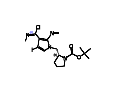 C=Nc1c(/C(Cl)=N\C)c(I)cn1C[C@H]1CCCN1C(=O)OC(C)(C)C